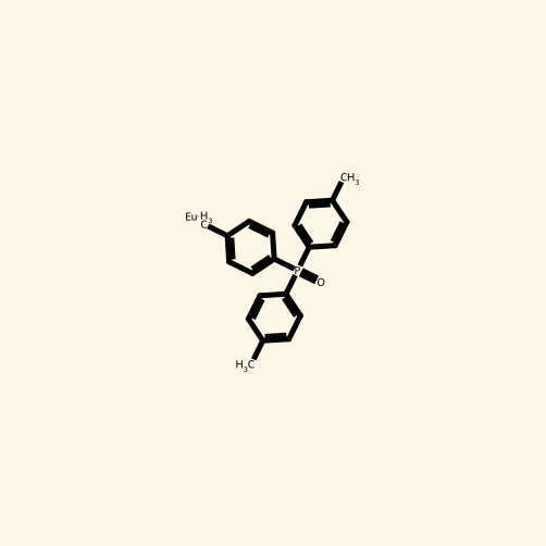 Cc1ccc(P(=O)(c2ccc(C)cc2)c2ccc(C)cc2)cc1.[Eu]